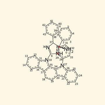 N[C@@]1(c2ccccc2)NC(n2c3ccccc3c3ccc4c5ccccc5n(-c5ccccc5)c4c32)=NC1c1ccccc1